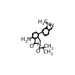 C=C(C)C(=O)N1Cc2c(-c3ccc4cnn(C)c4c3)ccc(N)c2C1=O